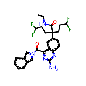 CCNC(=O)C(CCC(F)F)(CCC(F)F)c1ccc2nc(N)nc(C(=O)n3cc4ccccc4c3)c2c1